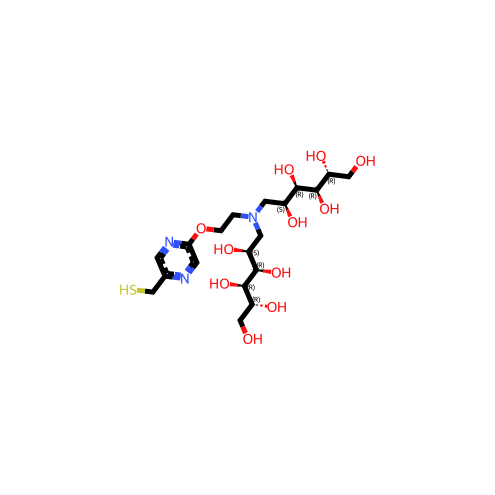 OC[C@@H](O)[C@@H](O)[C@H](O)[C@@H](O)CN(CCOc1cnc(CS)cn1)C[C@H](O)[C@@H](O)[C@H](O)[C@H](O)CO